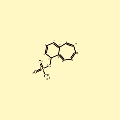 O=S(=O)(OC1C=CC=C2C=CC=CC=C21)C(F)(F)F